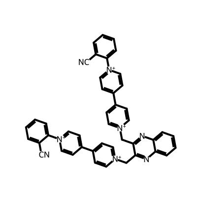 N#Cc1ccccc1-[n+]1ccc(-c2cc[n+](Cc3nc4ccccc4nc3C[n+]3ccc(-c4cc[n+](-c5ccccc5C#N)cc4)cc3)cc2)cc1